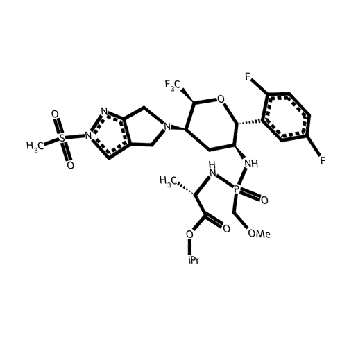 COCP(=O)(N[C@@H](C)C(=O)OC(C)C)N[C@H]1C[C@@H](N2Cc3cn(S(C)(=O)=O)nc3C2)[C@@H](C(F)(F)F)O[C@@H]1c1cc(F)ccc1F